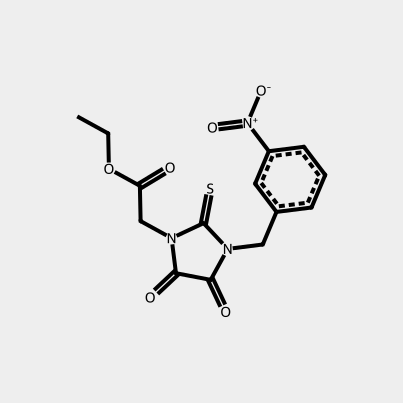 CCOC(=O)CN1C(=O)C(=O)N(Cc2cccc([N+](=O)[O-])c2)C1=S